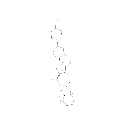 COC1CCN(C2CC[C@@]3(C)C(CC[C@H]4[C@@H]5CC[C@@]6(CC(C)=C5C[C@@H]43)O[C@@H]3C[C@H](C)CN[C@H]3[C@H]6C)C2)CC1